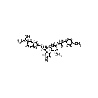 CCN1CCC(C(CCc2cc3cc(C(=N)N)ccc3o2)Nc2cc(C)nc(NC(=O)Nc3ccc(C)cc3)n2)C1